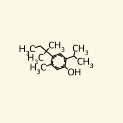 CCC(C)(C)c1cc(C(C)C)c(O)cc1C